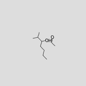 CC=O.CCCCC(O)C(C)C